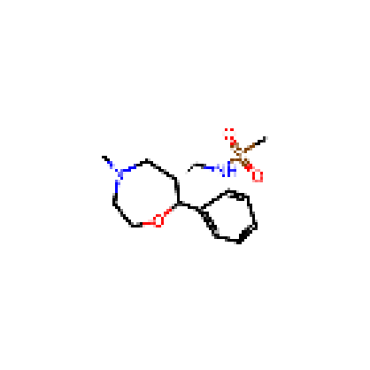 CN1CCOC(c2ccccc2)[C@@H](CNS(C)(=O)=O)C1